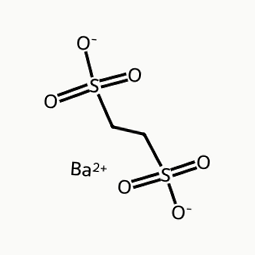 O=S(=O)([O-])CCS(=O)(=O)[O-].[Ba+2]